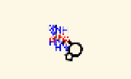 C=C1CCCC/C=C2/CCC/C2=C/1NC(=O)NS(=O)(=O)c1nnc[nH]1